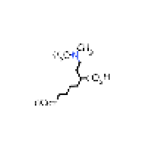 CCCCCCCCCCCCC(CCN(C)C)C(=O)O